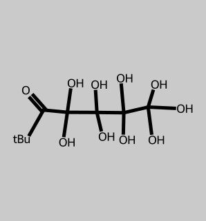 CC(C)(C)C(=O)C(O)(O)C(O)(O)C(O)(O)C(O)(O)O